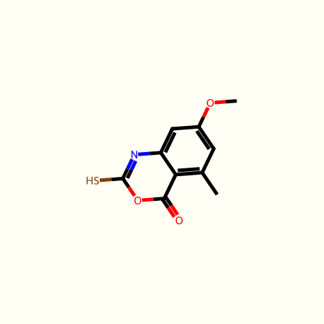 COc1cc(C)c2c(=O)oc(S)nc2c1